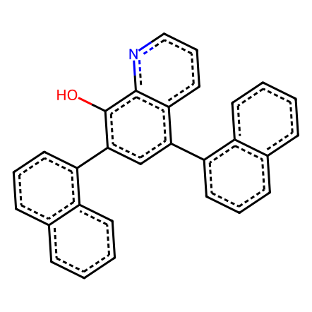 Oc1c(-c2cccc3ccccc23)cc(-c2cccc3ccccc23)c2cccnc12